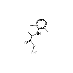 CCCOC(=O)C(C)Nc1c(C)cccc1C